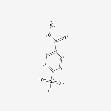 CC(C)(C)OC(=O)c1ccc(S(C)(=O)=O)cc1